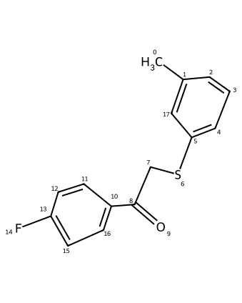 Cc1cccc(SCC(=O)c2ccc(F)cc2)c1